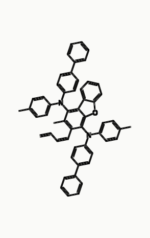 C=C/C=C\c1c(C)c(N(c2ccc(C)cc2)c2ccc(-c3ccccc3)cc2)c2c(oc3ccccc32)c1N(c1ccc(C)cc1)c1ccc(-c2ccccc2)cc1